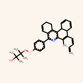 C=C/C=C\C1=C(C)c2nc(-c3ccc(BOC(C)(C)C(C)(C)O)cc3)c3c(c2C2C=CC=CC12)CCC=C3